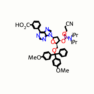 COc1ccc(C(OC[C@H]2O[C@@H](n3cnc4c(-c5cccc(C(=O)O)c5)ncnc43)C[C@@H]2OP(OCCC#N)N(C(C)C)C(C)C)(c2ccccc2)c2ccc(OC)cc2)cc1